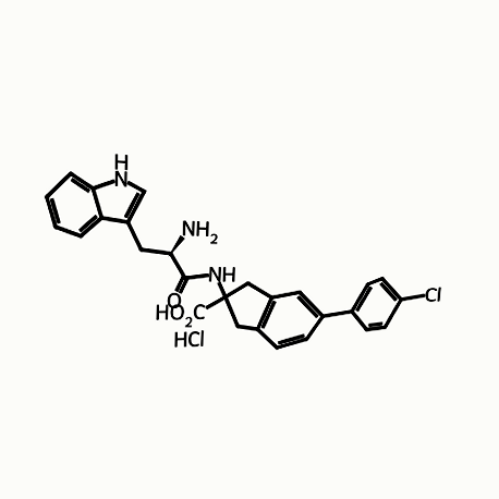 Cl.N[C@H](Cc1c[nH]c2ccccc12)C(=O)NC1(C(=O)O)Cc2ccc(-c3ccc(Cl)cc3)cc2C1